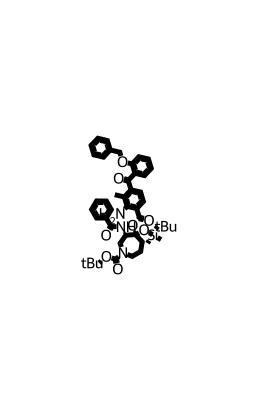 Cc1c(C(=O)c2ccccc2OCc2ccccc2)ccc(C(=O)O[C@@]2(O[Si](C)(C)C(C)(C)C)CCCN(C(=O)OC(C)(C)C)C[C@H]2NC(=O)c2ccccc2)c1N